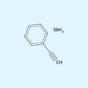 C#Cc1ccccc1.[SbH3]